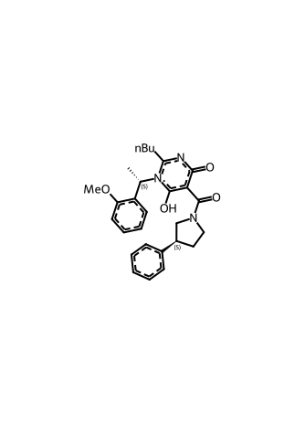 CCCCc1nc(=O)c(C(=O)N2CC[C@@H](c3ccccc3)C2)c(O)n1[C@@H](C)c1ccccc1OC